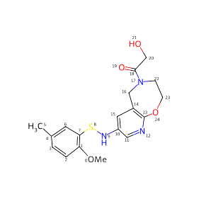 COc1ccc(C)cc1SNc1cnc2c(c1)CN(C(=O)CO)CCO2